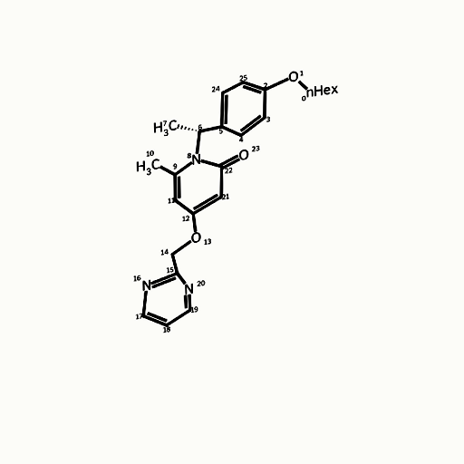 CCCCCCOc1ccc([C@@H](C)n2c(C)cc(OCc3ncccn3)cc2=O)cc1